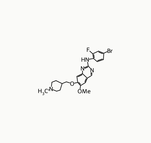 COc1cc2cnc(Nc3ccc(Br)cc3F)nc2cc1OCC1CCN(C)CC1